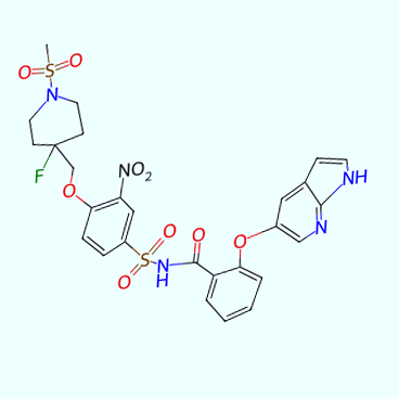 CS(=O)(=O)N1CCC(F)(COc2ccc(S(=O)(=O)NC(=O)c3ccccc3Oc3cnc4[nH]ccc4c3)cc2[N+](=O)[O-])CC1